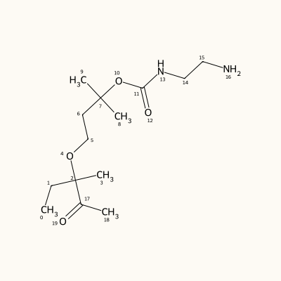 CCC(C)(OCCC(C)(C)OC(=O)NCCN)C(C)=O